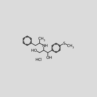 CSc1ccc(C(O)C(CO)NC(C)Cc2ccccc2)cc1.Cl